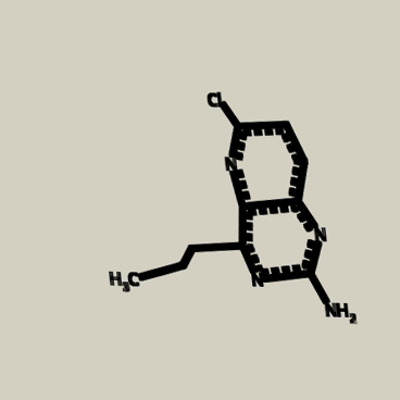 CCCc1nc(N)nc2ccc(Cl)nc12